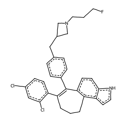 FCCCN1CC(Cc2ccc(C3=C(c4ccc(Cl)cc4Cl)CCCc4c3ccc3[nH]ccc43)cc2)C1